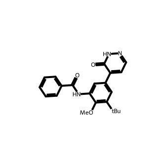 COc1c(NC(=O)c2ccccc2)cc(-c2ccn[nH]c2=O)cc1C(C)(C)C